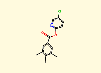 Cc1cc(C(=O)Oc2c[c]c(Cl)cn2)cc(C)c1C